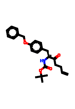 C=CCCC(=O)[C@H](Cc1ccc(OCc2ccccc2)cc1)NC(=O)OC(C)(C)C